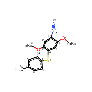 CCCCOc1cc(Sc2ccc(C)cc2)c(OCCCC)cc1[N+]#N